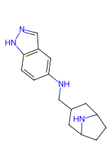 c1cc2[nH]ncc2cc1NCC1CC2CCC(C1)N2